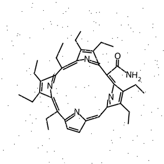 CCC1=C(CC)C2=C(C(N)=O)C3=NC(=C(CC)C4=NC(=C(CC)C5=NC(=CC1=N2)C=C5)C(CC)=C4CC)C(CC)=C3CC